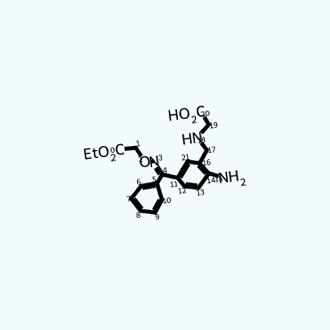 CCOC(=O)CO/N=C(\c1ccccc1)c1ccc(N)c(CNCC(=O)O)c1